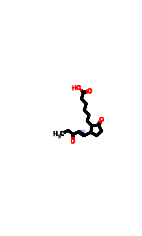 CCC(=O)/C=C/C1CCC(=O)C1CCCCCC(=O)O